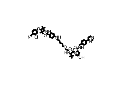 CC(C)(C)[C@H](NC(=O)COCCCCCNc1ccc(C(=O)N[C@H]2C(C)(C)[C@H](Oc3ccc(C#N)c(Cl)c3)C2(C)C)cc1)C(=O)N1C[C@H](O)C[C@H]1C(=O)NCc1ccc(-c2ccncn2)cc1